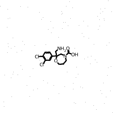 NCC1(c2ccc(Cl)c(Cl)c2)CN(C(=O)O)CCCO1